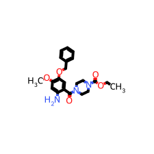 CCOC(=O)N1CCN(C(=O)c2cc(OCc3ccccc3)c(OC)cc2N)CC1